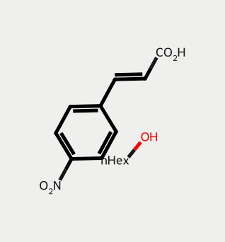 CCCCCCO.O=C(O)C=Cc1ccc([N+](=O)[O-])cc1